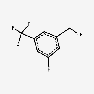 [O]Cc1cc(F)cc(C(F)(F)F)c1